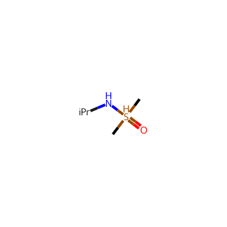 CC(C)N[SH](C)(C)=O